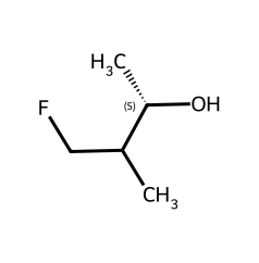 CC(CF)[C@H](C)O